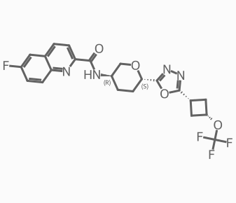 O=C(N[C@@H]1CC[C@@H](c2nnc([C@H]3C[C@@H](OC(F)(F)F)C3)o2)OC1)c1ccc2cc(F)ccc2n1